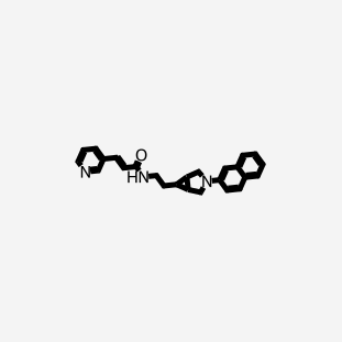 O=C(/C=C/c1cccnc1)NCCC1C2CN(c3ccc4ccccc4c3)CC12